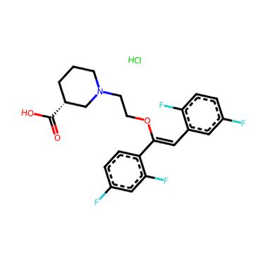 Cl.O=C(O)[C@@H]1CCCN(CCO/C(=C\c2cc(F)ccc2F)c2ccc(F)cc2F)C1